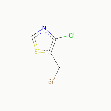 Clc1ncsc1CBr